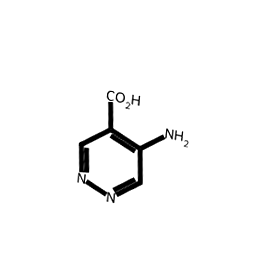 Nc1cnncc1C(=O)O